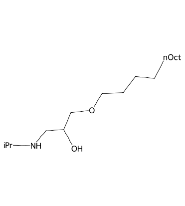 CCCCCCCCCCCCOCC(O)CNC(C)C